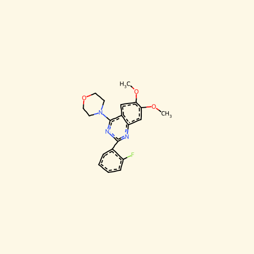 COc1cc2nc(-c3ccccc3F)nc(N3CCOCC3)c2cc1OC